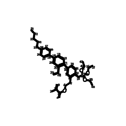 C=C(C)C(=C)OCCc1cc(-c2ccc(-c3ccc(CCCCC)cc3)cc2CC)ccc1C[Si](OCC)(OCC)OCC